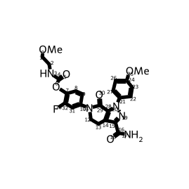 COCCNC(=O)Oc1ccc(N2CCc3c(C(N)=O)nn(-c4ccc(OC)cc4)c3C2=O)cc1F